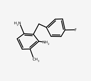 Cc1ccc(N)c(Cc2ccc(F)cc2)c1N